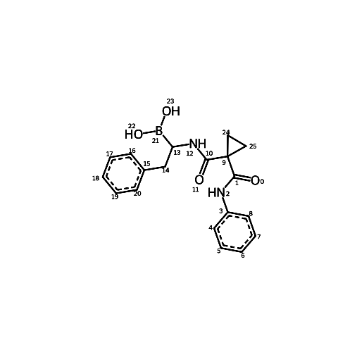 O=C(Nc1ccccc1)C1(C(=O)NC(Cc2ccccc2)B(O)O)CC1